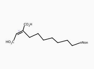 CCCCCCCCCCCCCCCC/C(=C\C(=O)O)C(=O)O